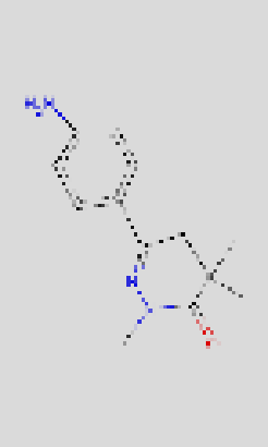 CN1N=C(c2ccc(N)cc2)CC(C)(C)C1=O